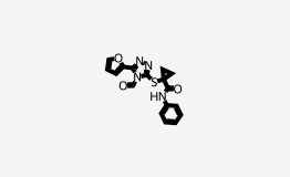 O=Cn1c(SC2(C(=O)Nc3ccccc3)CC2)nnc1-c1ccco1